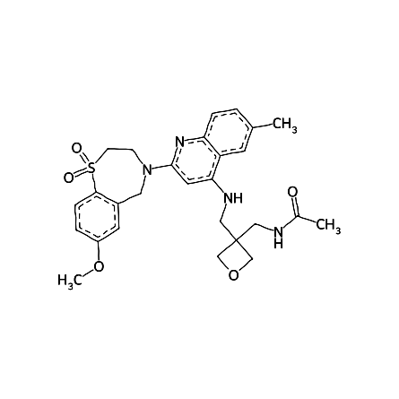 COc1ccc2c(c1)CN(c1cc(NCC3(CNC(C)=O)COC3)c3cc(C)ccc3n1)CCS2(=O)=O